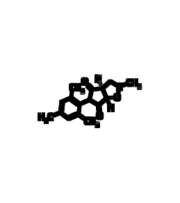 Cc1cc(C)c(C2C(=O)[C@H]3CN(C)O[C@H]3C2=O)c(C)c1